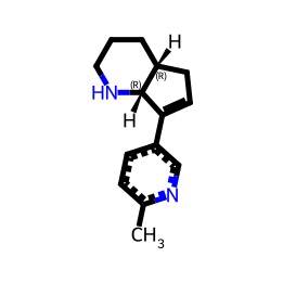 Cc1ccc(C2=CC[C@H]3CCCN[C@@H]23)cn1